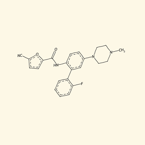 CN1CCN(c2ccc(NC(=O)c3ccc(C#N)o3)c(-c3ccccc3F)c2)CC1